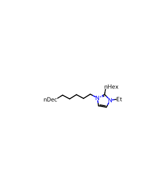 CCCCCCCCCCCCCCC[n+]1ccn(CC)c1CCCCCC